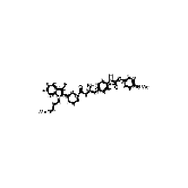 COCCCn1c(C2CCCN(C(=O)C[C@H](N)Cc3ccc(NC(=O)Oc4ccc(OC)cc4)cc3)C2)c(C)c2ccccc21